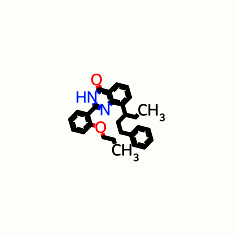 CCCOc1ccccc1-c1nc2c(C(CC)CCc3ccccc3)cccc2c(=O)[nH]1